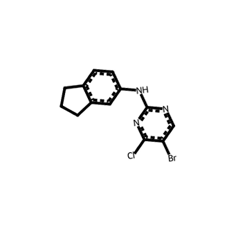 Clc1nc(Nc2ccc3c(c2)CCC3)ncc1Br